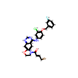 O=C(/C=C/CBr)N1CCOc2cc3ncnc(Nc4ccc(OCc5cccc(F)c5)c(Cl)c4)c3cc21